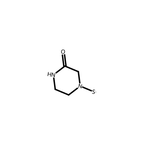 O=C1CN([S])CCN1